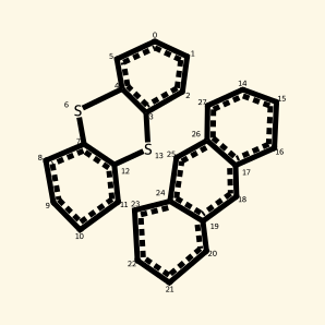 c1ccc2c(c1)Sc1ccccc1S2.c1ccc2cc3ccccc3cc2c1